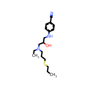 CCCSCCCN(CC)CC(O)CNc1ccc(C#N)cc1